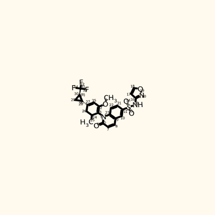 COC1=C(n2c(=O)ccc3cc(S(=O)(=O)Nc4ccon4)ccc32)C(C)CC([C@@H]2C[C@H]2C(F)(F)F)=C1